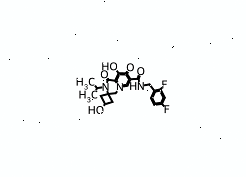 CC(C)N1C(=O)c2c(O)c(=O)c(C(=O)NCc3ccc(F)cc3F)cn2CC12CC(O)C2